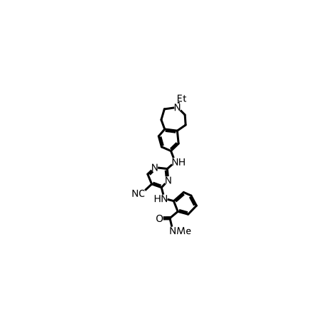 CCN1CCc2ccc(Nc3ncc(C#N)c(Nc4ccccc4C(=O)NC)n3)cc2CC1